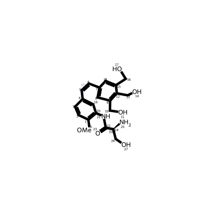 COc1ccc(/C=C\c2cc(CO)c(CO)c(CO)c2)cc1NC(=O)[C@@H](N)CO